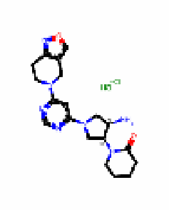 Cl.Cl.N[C@@H]1CN(c2cc(N3CCc4nocc4C3)ncn2)C[C@@H]1N1CCCCC1=O